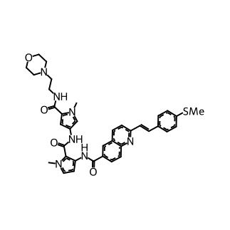 CSc1ccc(C=Cc2ccc3cc(C(=O)Nc4ccn(C)c4C(=O)Nc4cc(C(=O)NCCN5CCOCC5)n(C)c4)ccc3n2)cc1